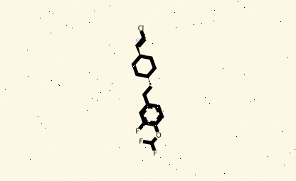 Fc1cc(CC[C@H]2CC[C@H](/C=C/Cl)CC2)ccc1OC(F)F